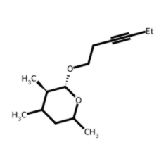 CCC#CCCO[C@@H]1OC(C)CC(C)[C@H]1C